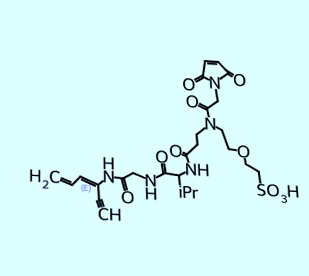 C#C/C(=C\C=C)NC(=O)CNC(=O)C(NC(=O)CCN(CCOCCS(=O)(=O)O)C(=O)CN1C(=O)C=CC1=O)C(C)C